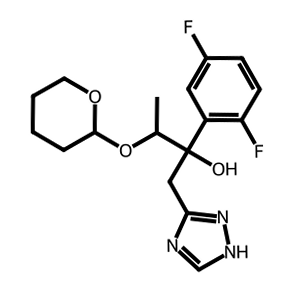 CC(OC1CCCCO1)C(O)(Cc1nc[nH]n1)c1cc(F)ccc1F